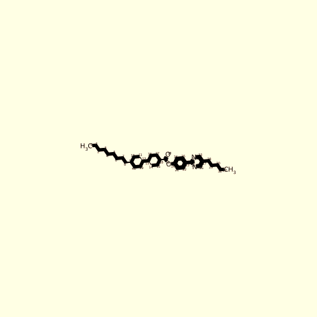 CCCCCCCCC[C@H]1CC[C@H]([C@H]2CC[C@H](C(=O)Oc3ccc(-c4ncc(CCCCC)cn4)cc3)CC2)CC1